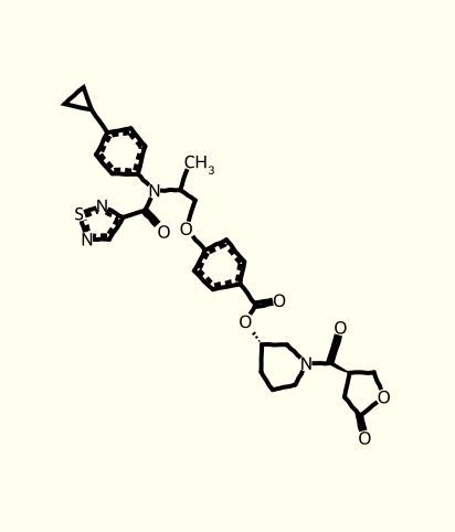 CC(COc1ccc(C(=O)O[C@H]2CCCN(C(=O)[C@H]3COC(=O)C3)C2)cc1)N(C(=O)c1cnsn1)c1ccc(C2CC2)cc1